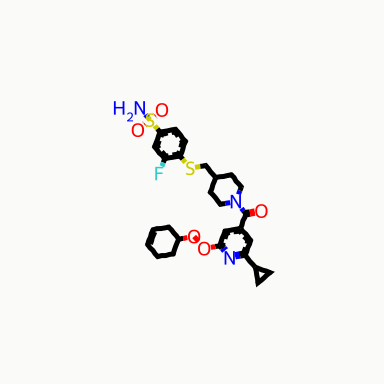 NS(=O)(=O)c1ccc(SCC2CCN(C(=O)c3cc(OOC4CC=CCC4)nc(C4CC4)c3)CC2)c(F)c1